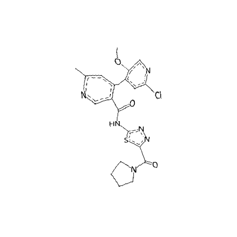 COc1cnc(Cl)cc1-c1cc(C)ncc1C(=O)Nc1nnc(C(=O)N2CCCC2)s1